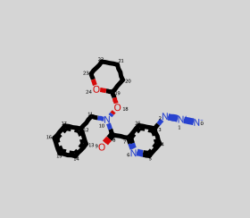 [N-]=[N+]=Nc1ccnc(C(=O)N(Cc2ccccc2)OC2CCCCO2)c1